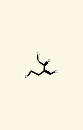 CC/C=C(/CCBr)C(=O)OCC